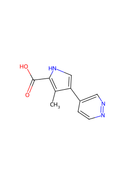 Cc1c(-c2ccnnc2)c[nH]c1C(=O)O